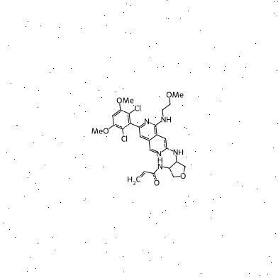 C=CC(=O)NC1COCC1Nc1cc2c(NCCOC)nc(-c3c(Cl)c(OC)cc(OC)c3Cl)cc2cn1